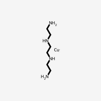 NCCNCCNCCN.[Cu]